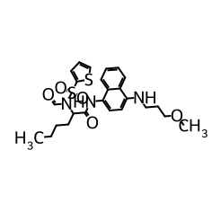 CCCCC(C(=O)Nc1ccc(NCCCOC)c2ccccc12)N(C=O)S(=O)(=O)c1cccs1